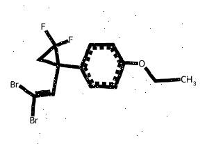 CCOc1ccc(C2(C=C(Br)Br)CC2(F)F)cc1